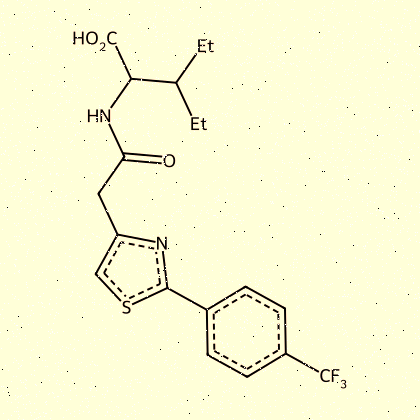 CCC(CC)C(NC(=O)Cc1csc(-c2ccc(C(F)(F)F)cc2)n1)C(=O)O